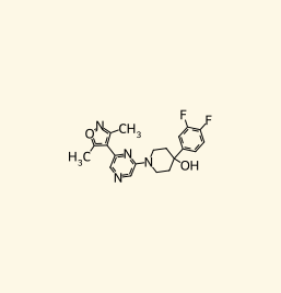 Cc1noc(C)c1-c1cncc(N2CCC(O)(c3ccc(F)c(F)c3)CC2)n1